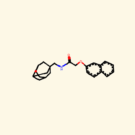 O=C(COc1ccc2ccccc2c1)NCC12CC3CCC(CC(C3)C1)C2